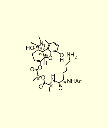 CC(=O)N[C@@H](CCCCN)C(=O)N[C@@H](C)C(=O)O[C@@H](C)C(=O)OC1=CC[C@@]2(O)[C@@H](C)N(C)CC[C@@]23c2c(C)ccc(O)c2O[C@@H]13